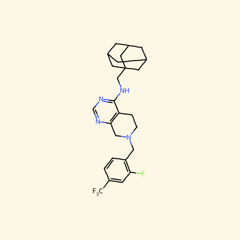 Fc1cc(C(F)(F)F)ccc1CN1CCc2c(ncnc2NCC23CC4CC(CC(C4)C2)C3)C1